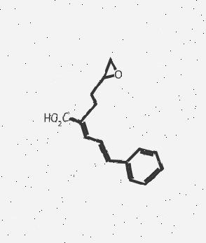 O=C(O)C(=CC=Cc1ccccc1)CCC1CO1